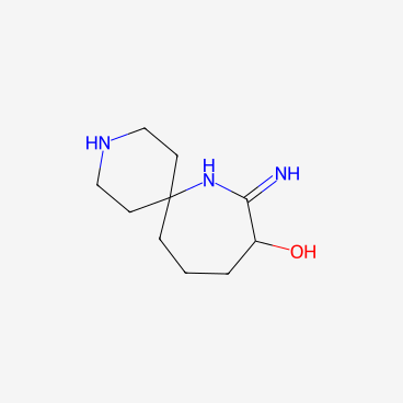 N=C1NC2(CCCC1O)CCNCC2